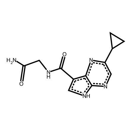 NC(=O)CNC(=O)c1c[nH]c2ncc(C3CC3)nc12